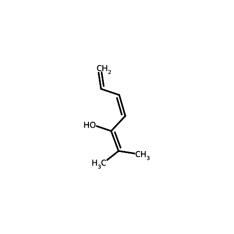 C=C/C=C\C(O)=C(C)C